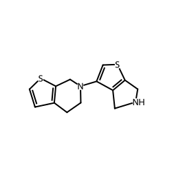 c1cc2c(s1)CN(c1csc3c1CNC3)CC2